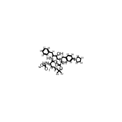 CC[C@H](C)[C@H](NC(=O)OC)C(=O)NC(Cc1ccccc1)C(O)CN(Cc1ccc(N2CCCC2)cc1)NC(=O)OC(C)(C)C